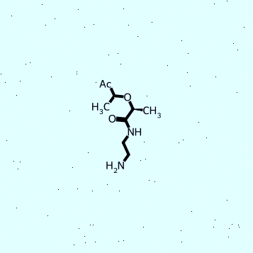 CC(=O)C(C)O[C@@H](C)C(=O)NCCN